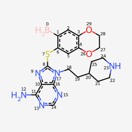 Bc1cc2c(cc1Sc1nc3c(N)ncnc3n1CCC1CCNCC1)OCCO2